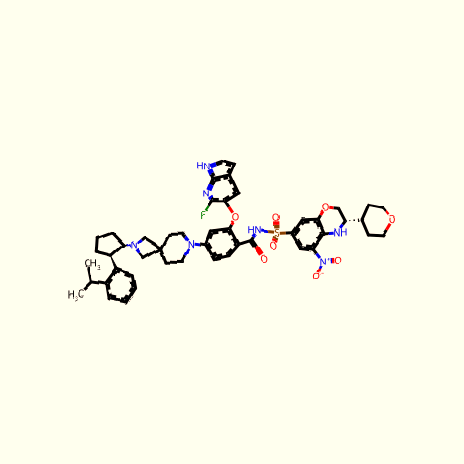 CC(C)c1ccccc1[C@H]1CCC[C@H]1N1CC2(CCN(c3ccc(C(=O)NS(=O)(=O)c4cc5c(c([N+](=O)[O-])c4)N[C@@H](C4CCOCC4)CO5)c(Oc4cc5cc[nH]c5nc4F)c3)CC2)C1